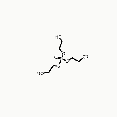 N#CCCOP(=O)(OCCC#N)SCCC#N